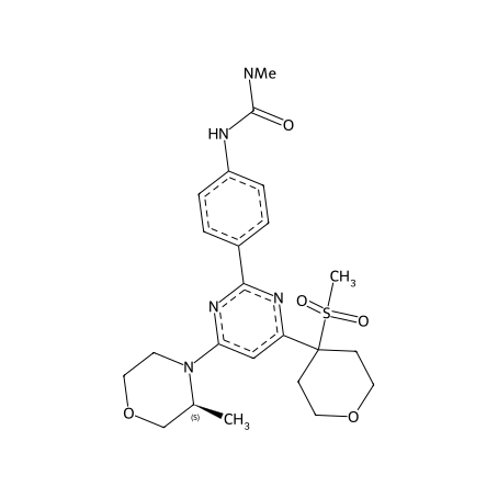 CNC(=O)Nc1ccc(-c2nc(N3CCOC[C@@H]3C)cc(C3(S(C)(=O)=O)CCOCC3)n2)cc1